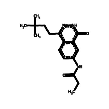 CCC(=O)Nc1ccc2c(CCC(C)(C)C)n[nH]c(=O)c2c1